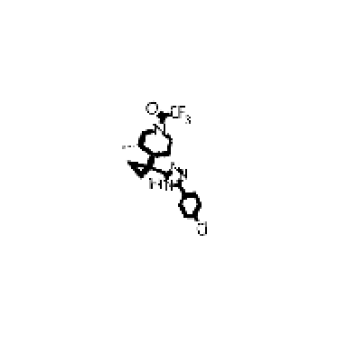 C[C@@H]1CN(C(=O)C(F)(F)F)CCC1C1(c2nnc(-c3ccc(Cl)cc3)[nH]2)CC1